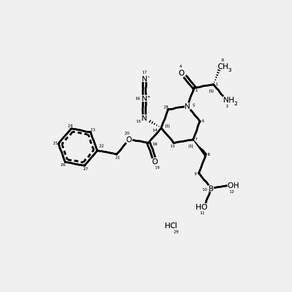 C[C@H](N)C(=O)N1C[C@@H](CCB(O)O)C[C@@](N=[N+]=[N-])(C(=O)OCc2ccccc2)C1.Cl